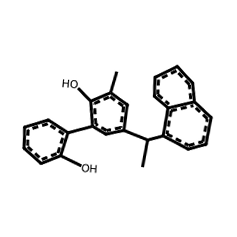 Cc1cc(C(C)c2cccc3ccccc23)cc(-c2ccccc2O)c1O